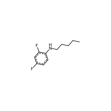 CCCCCNc1ccc(F)cc1F